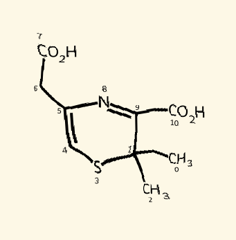 CC1(C)SC=C(CC(=O)O)N=C1C(=O)O